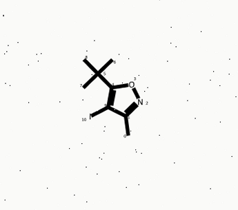 Cc1noc(C(C)(C)C)c1I